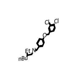 CCCCC(CC)C/N=C/c1ccc(OCc2ccc(Cl)c(Cl)c2)cc1